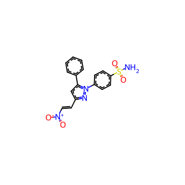 NS(=O)(=O)c1ccc(-n2nc(C=C[N+](=O)[O-])cc2-c2ccccc2)cc1